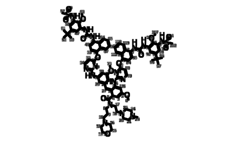 COC1=CC(C(=O)N(CCCN2CCOCC2)CCN2CCN(C)CC2)C(=Cc2cc(Nc3nccc(Oc4ccc(NC(=O)Nc5cc(C(C)(C)C)cc(NS(C)(=O)=O)c5OC)c5ccccc45)n3)cc(OC)c2)C(Nc2nccc(Oc3ccc(NC(=O)Nc4cc(C(C)(C)C)cc(NS(C)(=O)=O)c4OC)c4ccccc34)n2)=C1